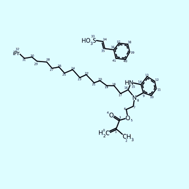 C=C(C)C(=O)OCCN1c2ccccc2NC1CCCCCCCCCCCCCCCC(C)C.O=S(=O)(O)C=Cc1ccccc1